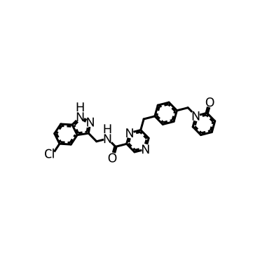 O=C(NCc1n[nH]c2ccc(Cl)cc12)c1cncc(Cc2ccc(Cn3ccccc3=O)cc2)n1